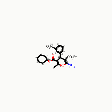 CCOC(=O)C1=C(N)OC(C)=C(C(=O)OC2CCCCC2)C1c1cccc([N+](=O)[O-])c1